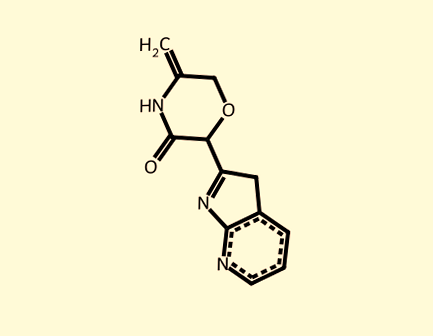 C=C1COC(C2=Nc3ncccc3C2)C(=O)N1